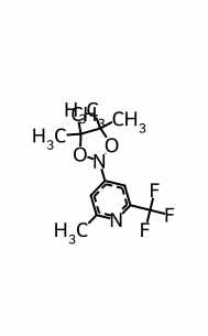 Cc1cc(N2OC(C)(C)C(C)(C)O2)cc(C(F)(F)F)n1